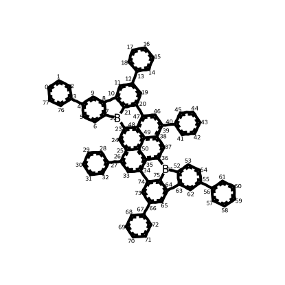 c1ccc(-c2ccc3c(c2)-c2cc(-c4ccccc4)cc4c2B3c2cc3c(-c5ccccc5)cc5c6c(cc7c(-c8ccccc8)cc-4c2c7c36)B2c3ccc(-c4ccccc4)cc3-c3cc(-c4ccccc4)cc-5c32)cc1